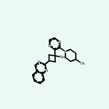 N#CC1CCN(c2nccnc2C2(O)CC(c3ncc4ccccc4n3)C2)CC1